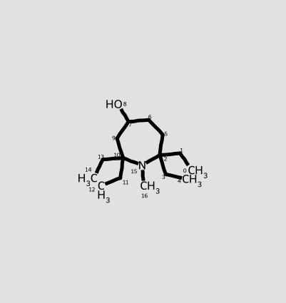 CCC1(CC)CCC(O)CC(CC)(CC)N1C